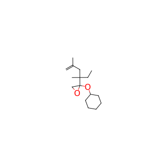 C=C(C)CC(C)(CC)C1(OC2CCCCC2)CO1